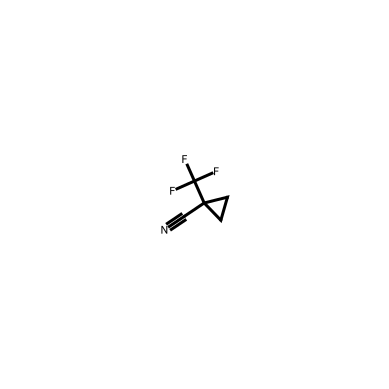 N#CC1(C(F)(F)F)CC1